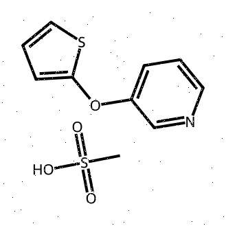 CS(=O)(=O)O.c1cncc(Oc2cccs2)c1